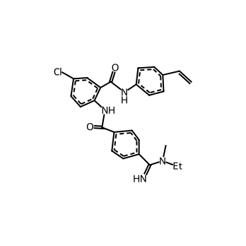 C=Cc1ccc(NC(=O)c2cc(Cl)ccc2NC(=O)c2ccc(C(=N)N(C)CC)cc2)cc1